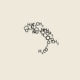 COCCCOc1cc(C[C@@H](C[C@H](N)C(O)CC(C(=O)NC[C@H]2CCCCO2)C(C)C)C(C)C)ccc1OC